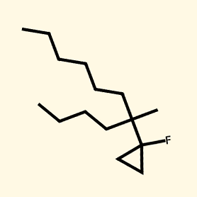 CCCCCCC(C)(CCCC)C1(F)CC1